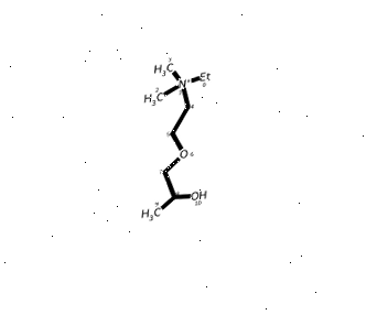 CC[N+](C)(C)CCOCC(C)O